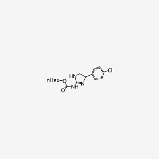 CCCCCCOC(=O)NC1=NC(c2ccc(Cl)cc2)CN1